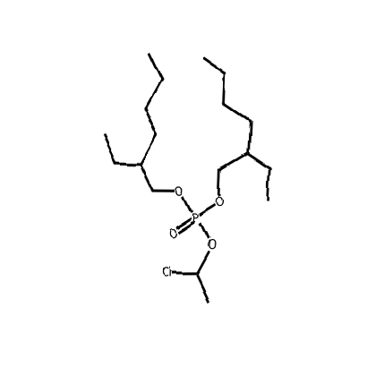 CCCCC(CC)COP(=O)(OCC(CC)CCCC)OC(C)Cl